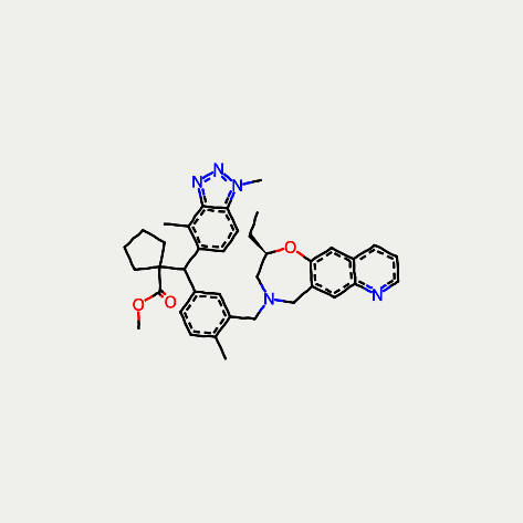 CC[C@@H]1CN(Cc2cc(C(c3ccc4c(nnn4C)c3C)C3(C(=O)OC)CCCC3)ccc2C)Cc2cc3ncccc3cc2O1